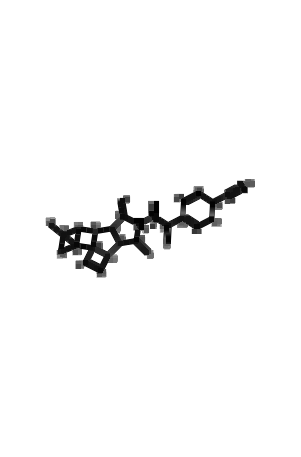 C=C(NN1C(=C)C2C(C1=C)C1C3C4(C)CC34C13C=CC23)C1=CCC(C#N)C=C1